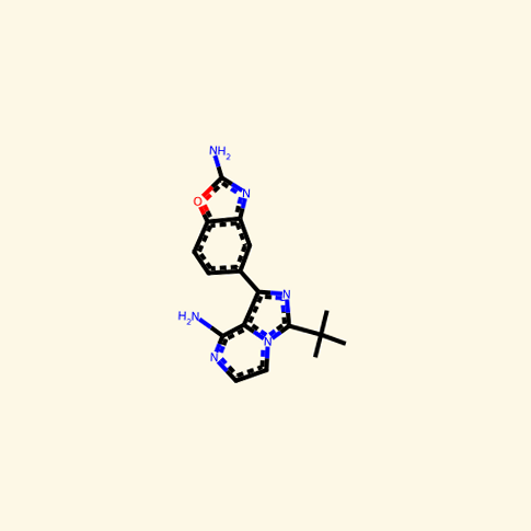 CC(C)(C)c1nc(-c2ccc3oc(N)nc3c2)c2c(N)nccn12